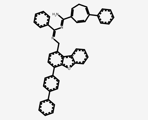 N/C(=N\C(=N/Cc1ccc(-c2ccc(-c3ccccc3)cc2)c2oc3ccccc3c12)c1ccccc1)C1=CCC=C(c2ccccc2)C=C1